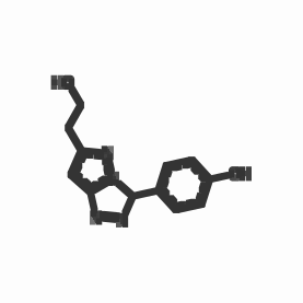 OCCc1cc2n(n1)C(c1ccc(O)cc1)N=N2